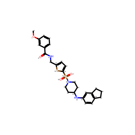 COc1cccc(C(=O)NCc2ccc(S(=O)(=O)N3CCC(Nc4ccc5c(c4)CCC5)CC3)s2)c1